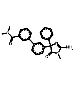 CN(C)C(=O)c1cccc(-c2cccc(C3(c4ccccc4)N=C(N)N(C)C3=O)c2)c1